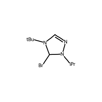 CC(C)N1N=CN(C(C)(C)C)C1Br